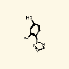 [2H]c1cc(O)ccc1-n1ncnn1